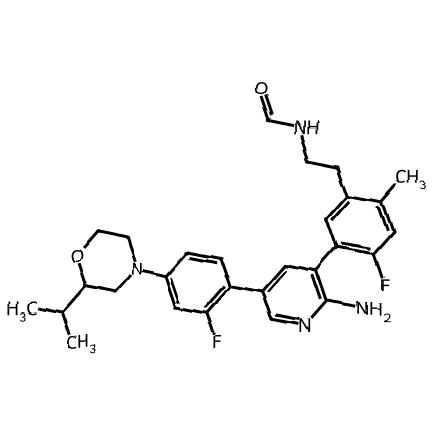 Cc1cc(F)c(-c2cc(-c3ccc(N4CCOC(C(C)C)C4)cc3F)cnc2N)cc1CCNC=O